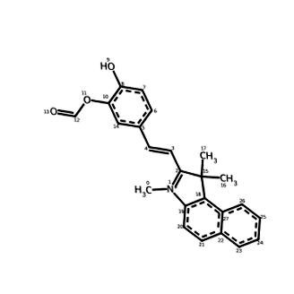 C[N+]1=C(/C=C/c2ccc(O)c(OC=O)c2)C(C)(C)c2c1ccc1ccccc21